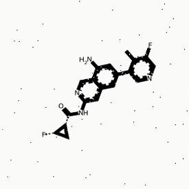 Cc1c(F)cncc1-c1cc(N)c2cnc(NC(=O)[C@@H]3C[C@@H]3F)cc2c1